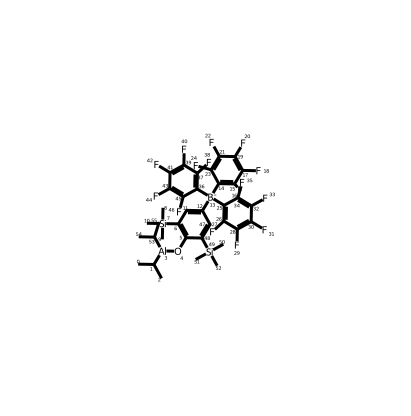 C[CH](C)[Al]([O]c1c([Si](C)(C)C)cc([B-](c2c(F)c(F)c(F)c(F)c2F)(c2c(F)c(F)c(F)c(F)c2F)c2c(F)c(F)c(F)c(F)c2F)cc1[Si](C)(C)C)[CH](C)C